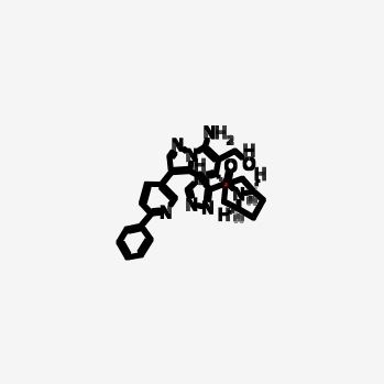 Nc1c(CO)c([C@@H]2C[C@H]3CC[C@@H](C2)N3C(=O)c2nnc[nH]2)nc2c(-c3ccc(-c4ccccc4)nc3)cnn12